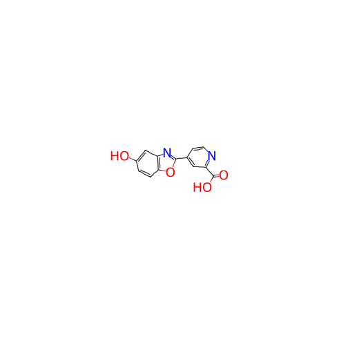 O=C(O)c1cc(-c2nc3cc(O)ccc3o2)ccn1